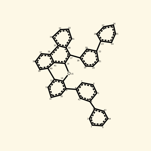 c1ccc(-c2cccc(-c3cccc4c3Oc3c(-c5cccc(-c6ccccc6)c5)c5ccccc5c5cccc-4c35)c2)cc1